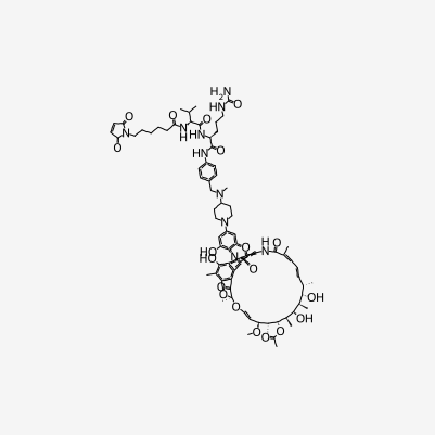 CO[C@H]1/C=C/O[C@@]2(C)Oc3c(C)c(O)c4c(=O)c(c5oc6cc(N7CCC(N(C)Cc8ccc(NC(=O)[C@H](CCCNC(N)=O)NC(=O)[C@@H](NC(=O)CCCCCN9C(=O)C=CC9=O)C(C)C)cc8)CC7)cc(O)c6nc-5c4c3C2=O)NC(=O)/C(C)=C\C=C\[C@H](C)[C@H](O)[C@@H](C)[C@@H](O)[C@@H](C)[C@H](OC(C)=O)[C@@H]1C